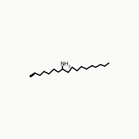 C=CCCCCCC(N)CCCCCCCCCC